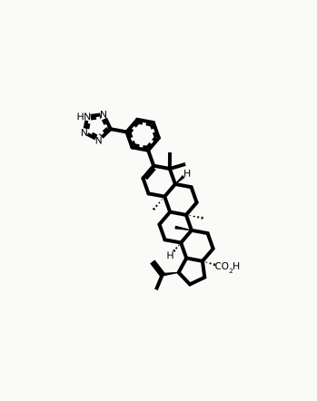 C=C(C)[C@@H]1CC[C@]2(C(=O)O)CC[C@]3(C)[C@H](CCC4[C@@]5(C)CC=C(c6cccc(-c7nn[nH]n7)c6)C(C)(C)[C@@H]5CC[C@]43C)C12